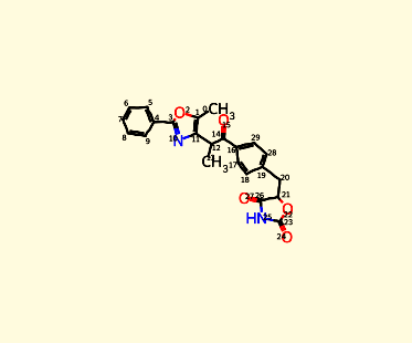 Cc1oc(-c2ccccc2)nc1C(C)C(=O)c1ccc(CC2OC(=O)NC2=O)cc1